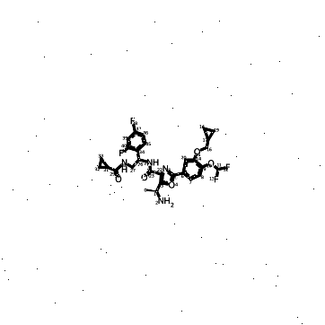 C[C@H](N)c1oc(-c2ccc(OC(F)F)c(OCC3CC3)c2)nc1C(=O)NC(CNC(=O)C1CC1)c1ccc(F)cc1F